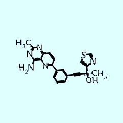 Cc1nc(N)c2nc(-c3cccc(C#C[C@](C)(O)c4cscn4)c3)ccc2n1